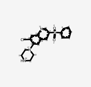 O=S(=O)(c1ccccc1)c1cnc2cc(Cl)c(N3CCNCC3)cc2c1